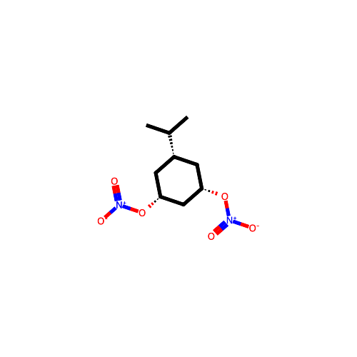 CC(C)[C@@H]1C[C@H](O[N+](=O)[O-])C[C@H](O[N+](=O)[O-])C1